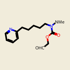 CNN(CCCCCc1ccccn1)C(=O)OCC=O